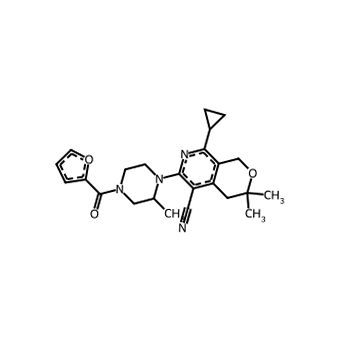 CC1CN(C(=O)c2ccco2)CCN1c1nc(C2CC2)c2c(c1C#N)CC(C)(C)OC2